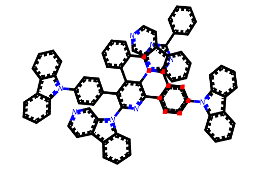 c1ccc(-c2nc(-c3ccccc3)nc(-c3ccccc3-c3c(-c4ccc(-n5c6ccccc6c6ccccc65)cc4)c(-n4c5ccccc5c5ccncc54)nc(-c4ccc(-n5c6ccccc6c6ccccc65)cc4)c3-n3c4ccccc4c4ccncc43)n2)cc1